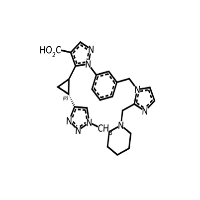 Cn1cc([C@@H]2CC2c2c(C(=O)O)cnn2-c2cccc(Cn3ccnc3CN3CCCCC3)c2)nn1